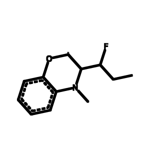 CCC(F)C1[CH]Oc2ccccc2N1C